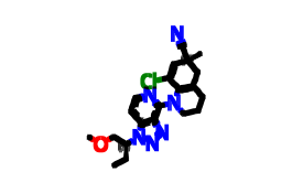 CC[C@@H](COC)n1nnc2c(N3CCCC4=C3C(Cl)=C[C@](C)(C#N)C4)nccc21